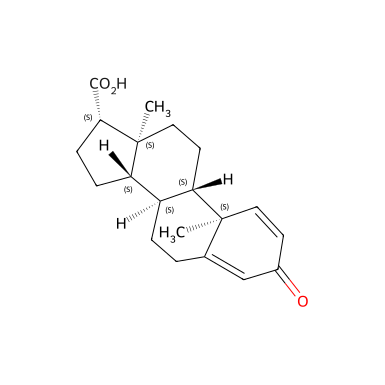 C[C@]12CC[C@H]3[C@@H](CCC4=CC(=O)C=C[C@@]43C)[C@@H]1CC[C@@H]2C(=O)O